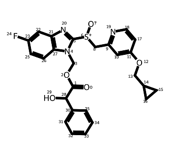 O=C(OCn1c([S+]([O-])Cc2cc(OCC3CC3)ccn2)nc2cc(F)ccc21)C(O)c1ccccc1